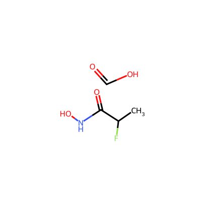 CC(F)C(=O)NO.O=CO